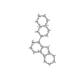 c1ccc2c(c1)sc1c(-c3ccc4ccncc4n3)nccc12